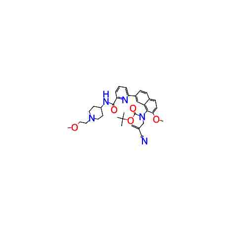 C=C(C#N)CN(C(=O)OC(C)(C)C)c1c(OC)ccc2ccc(-c3cccc(C(=O)NC4CCN(CCOC)CC4)n3)cc12